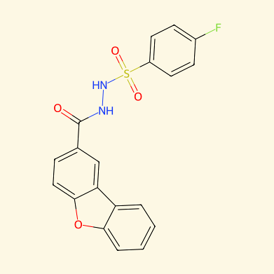 O=C(NNS(=O)(=O)c1ccc(F)cc1)c1ccc2oc3ccccc3c2c1